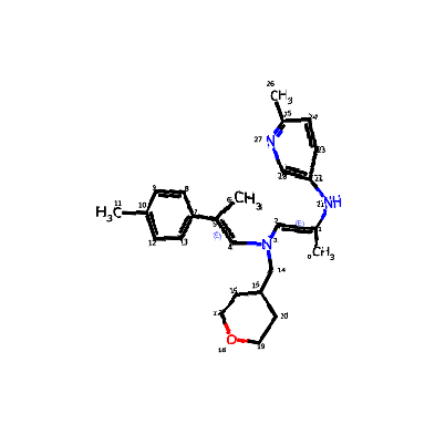 C/C(=C\N(/C=C(\C)c1ccc(C)cc1)CC1CCOCC1)Nc1ccc(C)nc1